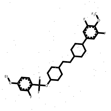 CCOc1ccc(C(F)(F)OC2CCC(CCC3CCC(c4cc(F)c(OC(F)(F)F)c(F)c4)CC3)CC2)c(F)c1